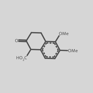 COc1ccc2c(c1OC)CCC(=O)C2C(=O)O